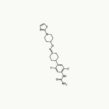 NC(=O)Nc1cc(F)c(C2CCC(=NOC3CCN(c4nccs4)CC3)CC2)cc1F